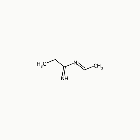 C/C=N/C(=N)CC